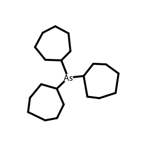 C1CCCC([As](C2CCCCCC2)C2CCCCCC2)CC1